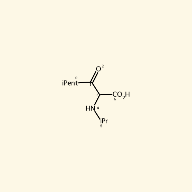 CCCC(C)C(=O)C(NC(C)C)C(=O)O